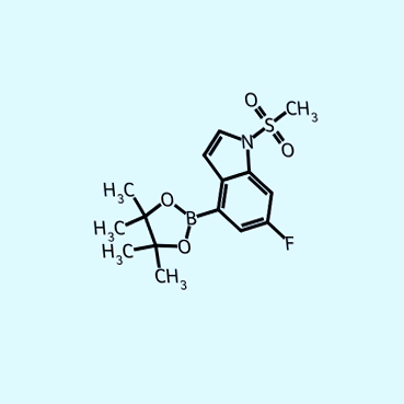 CC1(C)OB(c2cc(F)cc3c2ccn3S(C)(=O)=O)OC1(C)C